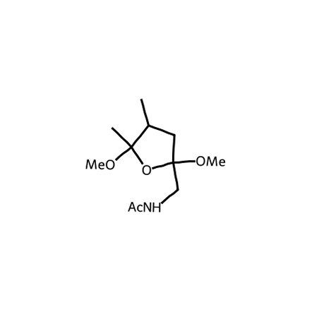 COC1(CNC(C)=O)CC(C)C(C)(OC)O1